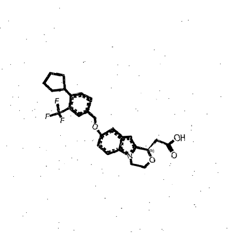 O=C(O)C[C@H]1OCCn2c1cc1cc(OCc3ccc(C4CCCC4)c(C(F)(F)F)c3)ccc12